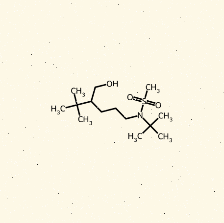 CC(C)(C)C(CO)CCCN(C(C)(C)C)S(C)(=O)=O